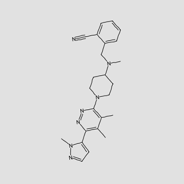 Cc1c(-c2ccnn2C)nnc(N2CCC(N(C)Cc3ccccc3C#N)CC2)c1C